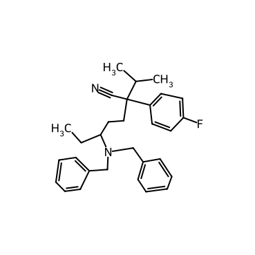 CCC(CCC(C#N)(c1ccc(F)cc1)C(C)C)N(Cc1ccccc1)Cc1ccccc1